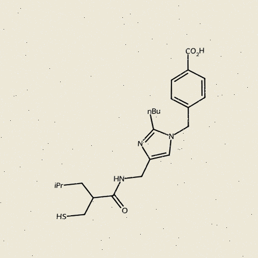 CCCCc1nc(CNC(=O)C(CS)CC(C)C)cn1Cc1ccc(C(=O)O)cc1